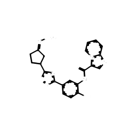 CO/N=C1/CCC(c2nc(-c3ccc(C)c(NC(=O)c4cnc5ccccn45)c3)no2)C1